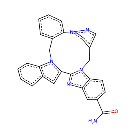 NC(=O)c1ccc2c(c1)nc1n2Cc2cnn(c2)-c2ccccc2Cn2c-1cc1ccccc12